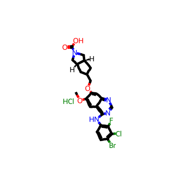 COc1cc2c(Nc3ccc(Br)c(Cl)c3F)ncnc2cc1OCC1C[C@@H]2CN(C(=O)O)C[C@@H]2C1.Cl